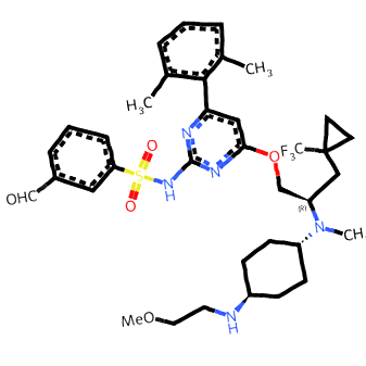 COCCN[C@H]1CC[C@H](N(C)[C@@H](COc2cc(-c3c(C)cccc3C)nc(NS(=O)(=O)c3cccc(C=O)c3)n2)CC2(C(F)(F)F)CC2)CC1